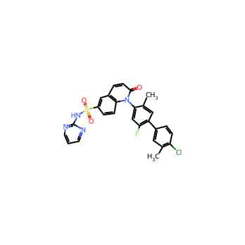 Cc1cc(-c2cc(C)c(-n3c(=O)ccc4cc(S(=O)(=O)Nc5ncccn5)ccc43)cc2F)ccc1Cl